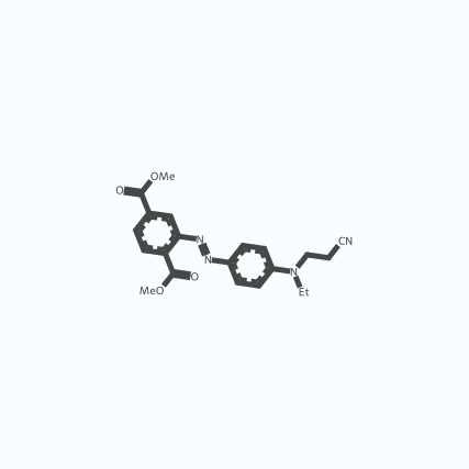 CCN(CCC#N)c1ccc(N=Nc2cc(C(=O)OC)ccc2C(=O)OC)cc1